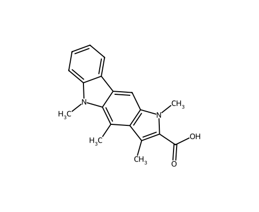 Cc1c(C(=O)O)n(C)c2cc3c4ccccc4n(C)c3c(C)c12